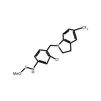 COSNc1ccc(CN2CCc3cc(C(F)(F)F)ccc32)c(Cl)c1